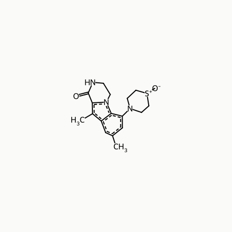 Cc1cc(N2CC[S+]([O-])CC2)c2c(c1)c(C)c1n2CCNC1=O